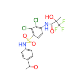 CC(=O)c1ccc(NS(=O)(=O)c2ccc(NC(=O)C(C)(O)C(F)(F)F)c(Cl)c2Cl)cc1